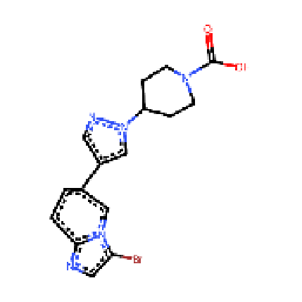 O=C(O)N1CCC(n2cc(-c3ccc4ncc(Br)n4c3)cn2)CC1